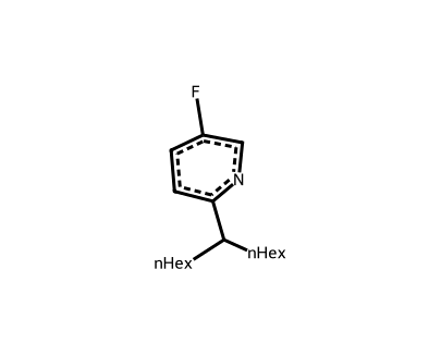 CCCCCCC(CCCCCC)c1ccc(F)cn1